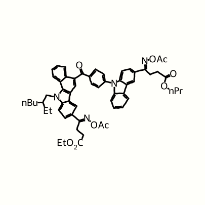 CCCCC(CC)Cn1c2ccc(C(CCC(=O)OCC)=NOC(C)=O)cc2c2cc(C(=O)c3ccc(-n4c5ccccc5c5cc(C(CCC(=O)OCCC)=NOC(C)=O)ccc54)cc3)c3ccccc3c21